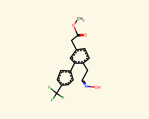 COC(=O)Cc1ccc(C/C=N\O)c(-c2ccc(C(F)(F)F)cc2)c1